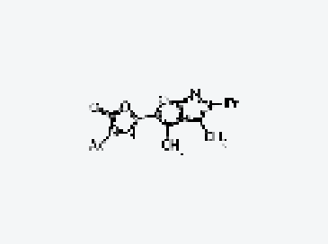 CC(=O)n1nc(-c2oc3nn(C(C)C)c(C)c3c2C)oc1=O